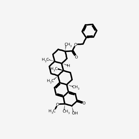 CO[C@@]1(C)C2=CC=C3[C@@](C)(CC[C@@]4(C)[C@@H]5C[C@](C)(C(=O)OCc6ccccc6)CC[C@]5(C)CC[C@]34C)C2=CC(=O)[C@@H]1O